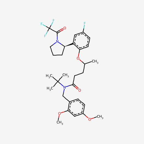 COc1ccc(CN(C(=O)CCC(C)Oc2ccc(F)cc2[C@H]2CCCN2C(=O)C(F)(F)F)C(C)(C)C)c(OC)c1